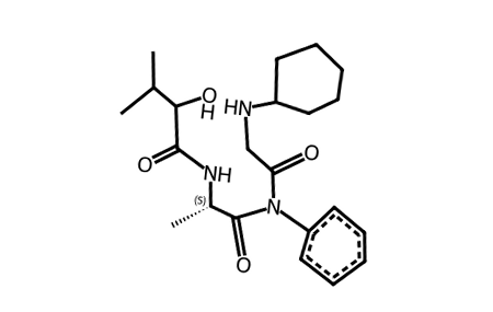 CC(C)C(O)C(=O)N[C@@H](C)C(=O)N(C(=O)CNC1CCCCC1)c1ccccc1